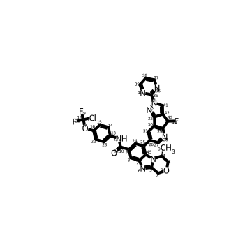 C[C@@H]1COCc2nc3cc(C(=O)Nc4ccc(OC(F)(F)Cl)cc4)cc(-c4cnc5c(c4)-c4nn(-c6ncccn6)cc4C5F)c3n21